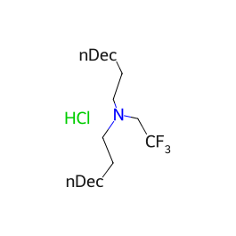 CCCCCCCCCCCCN(CCCCCCCCCCCC)CC(F)(F)F.Cl